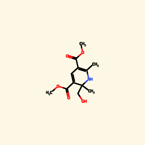 COC(=O)C1=CC(C(=O)OC)=C(C)NC1(C)CO